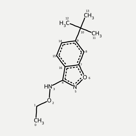 CCONc1noc2cc(C(C)(C)C)ccc12